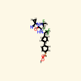 COOSc1ccc(-c2ccc([C@H](N[C@@H](CC(C)(C)F)C(=O)NC3(C#N)CC3)C(F)(F)F)cc2)cc1